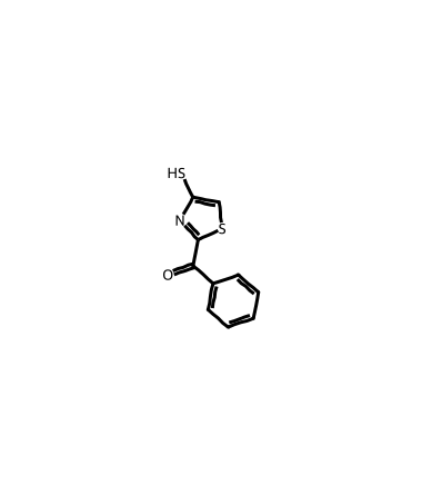 O=C(c1ccccc1)c1nc(S)cs1